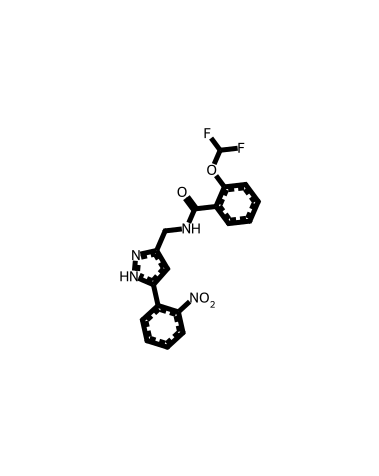 O=C(NCc1cc(-c2ccccc2[N+](=O)[O-])[nH]n1)c1ccccc1OC(F)F